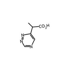 CC(C(=O)O)c1cncnn1